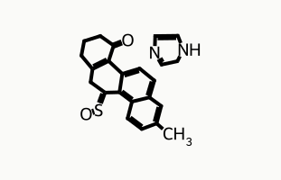 C1=CNCC=N1.Cc1ccc2c3c(ccc2c1)C1=C(CCCC1=O)CC3=S=O